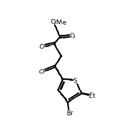 CCc1sc(C(=O)CC(=O)C(=O)OC)cc1Br